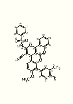 COc1ccc(C2C(C#N)=C(NS(=O)(=O)c3ccccc3)Oc3c2c(=O)oc2ccccc32)cc1-c1cnc(F)c(C)c1